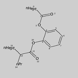 CCCCCCCC(=O)Oc1ccccc1OC(=O)C(CCC)CCCCCCC